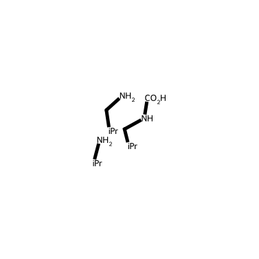 CC(C)CN.CC(C)CNC(=O)O.CC(C)N